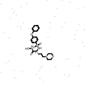 O=C(NO)[C@@H](CCCN1CCOCC1)NS(=O)(=O)c1ccc(Oc2ccccc2)cc1